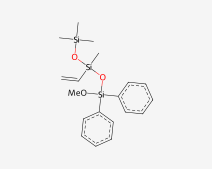 C=C[Si](C)(O[Si](C)(C)C)O[Si](OC)(c1ccccc1)c1ccccc1